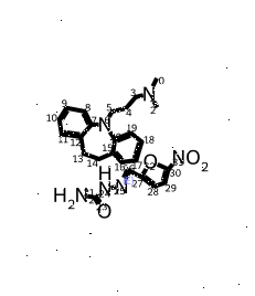 CN(C)CCCN1c2ccccc2CCc2ccccc21.NC(=O)N/N=C/c1ccc([N+](=O)[O-])o1